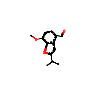 COc1ccc(C=O)c2cc(C(C)C)oc12